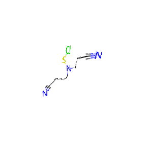 N#CCCN(CCC#N)SCl